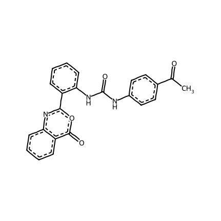 CC(=O)c1ccc(NC(=O)Nc2ccccc2-c2nc3ccccc3c(=O)o2)cc1